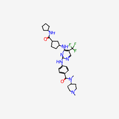 CN1CCC(N(C)C(=O)c2ccc(Nc3ncc(C(F)(F)F)c(NC4CCC(C(=O)NC5CCCC5)C4)n3)cc2)CC1